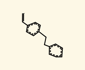 [CH]=Cc1ccc(CCc2ccccc2)cc1